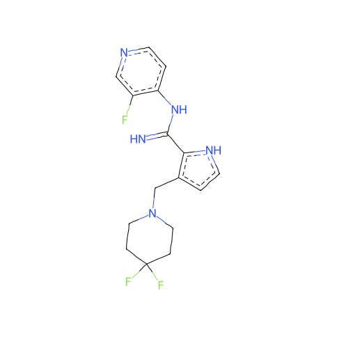 N=C(Nc1ccncc1F)c1[nH]ccc1CN1CCC(F)(F)CC1